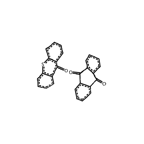 O=C1c2ccccc2C(=O)c2ccccc21.O=c1c2ccccc2sc2ccccc12